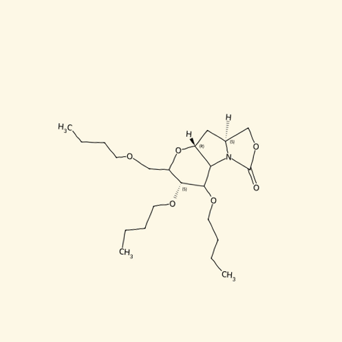 CCCCOCC1O[C@@H]2C[C@H]3COC(=O)N3C2C(OCCCC)[C@@H]1OCCCC